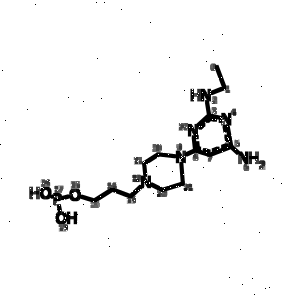 CCNc1nc(N)cc(N2CCN(CCCOP(O)O)CC2)n1